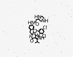 CC(C)c1[nH]n(-c2c(Cl)cc(Cl)cc2Cl)c2nc(Cc3ccc(NC(=O)CC4CNCCN4)cc3)nc(=O)c1-2